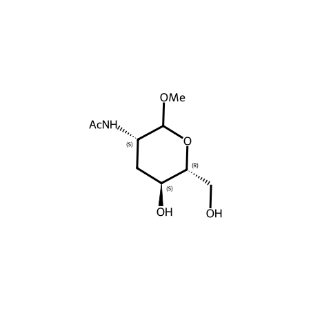 COC1O[C@H](CO)[C@@H](O)C[C@@H]1NC(C)=O